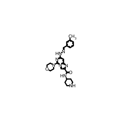 Cc1cccc(/C=N/Nc2cc3nc(C(=O)NC4CCNCC4)cn3c(N3CCOCC3)n2)c1